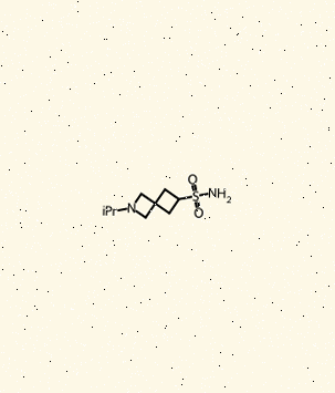 CC(C)N1CC2(CC(S(N)(=O)=O)C2)C1